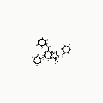 CC(C)c1c(Cc2ccccc2)nc2c(Cc3ccccc3)nc(-c3ccccc3)cn12